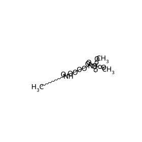 CCCCCCCCCCCCCCCC(=O)NCCOCCOCCOCCOCCC(=O)NC(C=O)COC(c1ccccc1)(c1ccc(OC)cc1)c1ccc(OC)cc1